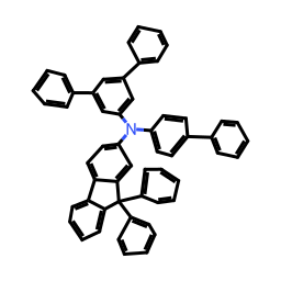 c1ccc(-c2ccc(N(c3cc(-c4ccccc4)cc(-c4ccccc4)c3)c3ccc4c(c3)C(c3ccccc3)(c3ccccc3)c3ccccc3-4)cc2)cc1